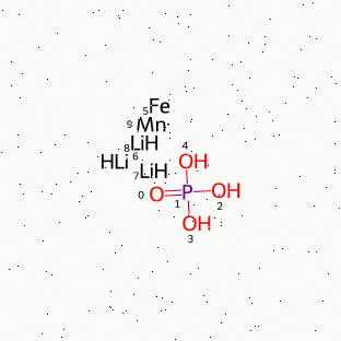 O=P(O)(O)O.[Fe].[LiH].[LiH].[LiH].[Mn]